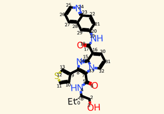 CC[C@@H](CO)NC(=O)c1c(-c2ccsc2)nc2c(C(=O)Nc3ccc4ncccc4c3)cccn12